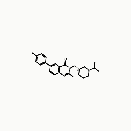 Cc1ccc(-c2ccc3nc(C)n(C[C@H]4CCCN(C(C)C)C4)c(=O)c3c2)cc1